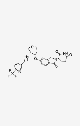 O=C1CC[C@H](N2Cc3cc(O[C@H]4CCCC[C@H]4N4CC(c5ccc(C(F)(F)F)nc5)C4)ccc3C2=O)C(=O)N1